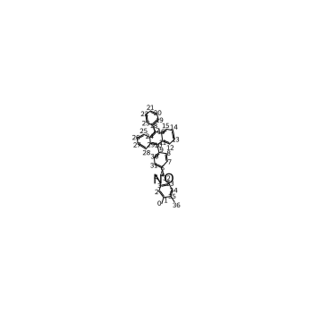 Cc1cc2nc(-c3ccc(-c4c5ccccc5c(-c5ccccc5)c5ccccc45)cc3)oc2cc1C